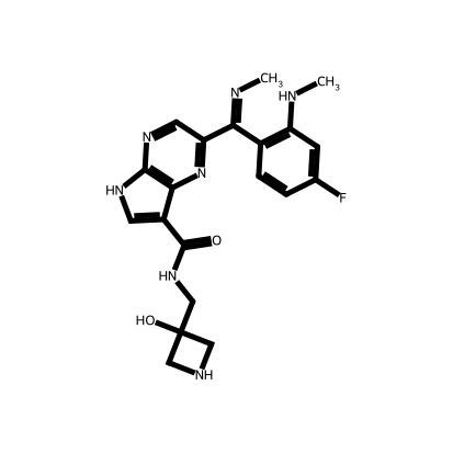 C/N=C(/c1cnc2[nH]cc(C(=O)NCC3(O)CNC3)c2n1)c1ccc(F)cc1NC